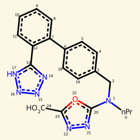 CCCN(Cc1ccc(-c2ccccc2-c2nnn[nH]2)cc1)c1nnc(C(=O)O)o1